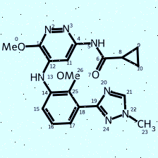 COc1nnc(NC(=O)C2CC2)cc1Nc1cccc(-c2ncn(C)n2)c1OC